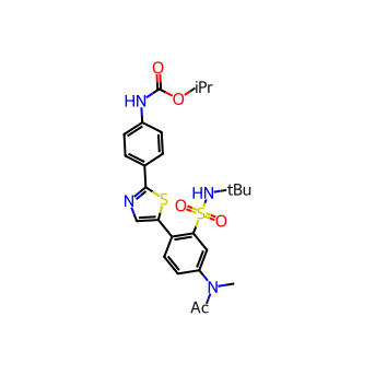 CC(=O)N(C)c1ccc(-c2cnc(-c3ccc(NC(=O)OC(C)C)cc3)s2)c(S(=O)(=O)NC(C)(C)C)c1